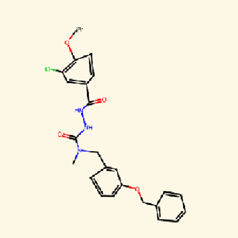 CC(C)Oc1ccc(C(=O)NNC(=O)N(C)Cc2cccc(OCc3ccccc3)c2)cc1Cl